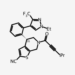 CCn1cc(-c2ccccc2[C@@H]2CN(C(=O)C#CC(C)C)Cc3sc(C#N)cc32)c(C(F)(F)F)n1